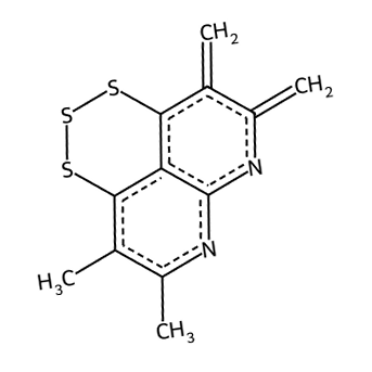 C=c1nc2nc(C)c(C)c3c2c(c1=C)SSS3